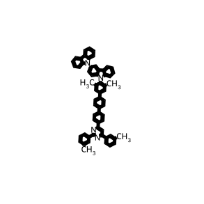 Cc1cccc(-c2cc(-c3ccc(-c4ccc(-c5cc(C)c(-n6c7ccccc7c7cc(-n8c9ccccc9c9ccccc98)ccc76)c(C)c5)cc4)cc3)nc(-c3cccc(C)c3)n2)c1